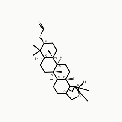 CC1(C)CC[C@]23CC[C@]4(C)[C@H](CC[C@@H]5[C@@]6(C)CC[C@H](OC=O)C(C)(C)[C@@H]6CC[C@]54C)C2[C@H]1OC3